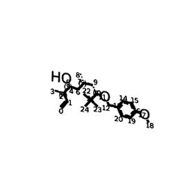 C=C[C@@H](C)[C@@H](O)C[C@H](C)C[C@H](OCc1ccc(OC)cc1)C(C)(C)C